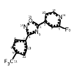 Fc1cc(-c2nc(-c3ccc(C(F)(F)F)cc3)no2)ccn1